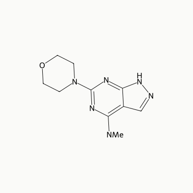 CNc1nc(N2CCOCC2)nc2[nH]ncc12